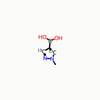 Cn1[13cH]c(B(O)O)[13cH]n1